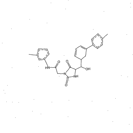 Cc1ccc(C2=CC=CC(C(O)C3NC(=O)N(CC(=O)Nc4cccc(C)c4)C3=O)C2)cc1